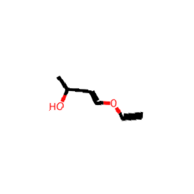 C=COC=CC(C)O